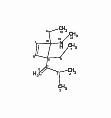 C=C(C(C)C)C1(CC)C=CC1(CC)NC